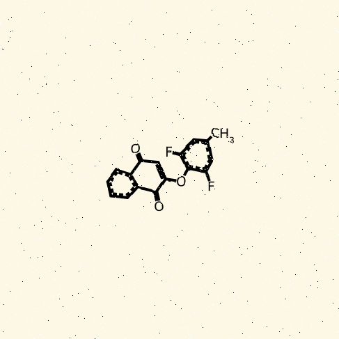 Cc1cc(F)c(OC2=CC(=O)c3ccccc3C2=O)c(F)c1